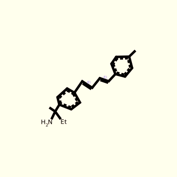 CCC(C)(N)c1ccc(/C=C/C=C/c2ccc(C)cc2)cc1